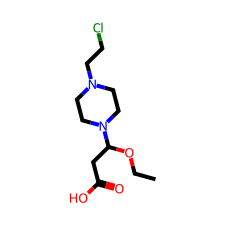 CCOC(CC(=O)O)N1CCN(CCCl)CC1